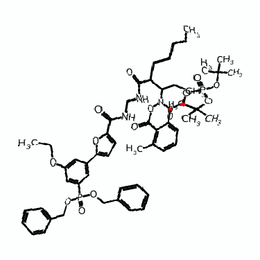 CCCCCC(C(=O)NCNC(=O)c1ccc(-c2cc(OCC)cc(P(=O)(OCc3ccccc3)OCc3ccccc3)c2)o1)C(CC)N(C=O)OC(=O)c1c(C)cccc1OCOP(=O)(OC(C)(C)C)OC(C)(C)C